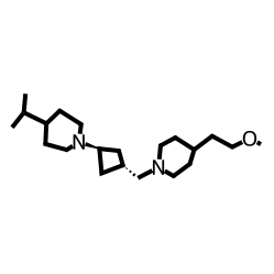 COCCC1CCN(C[C@H]2C[C@H](N3CCC(C(C)C)CC3)C2)CC1